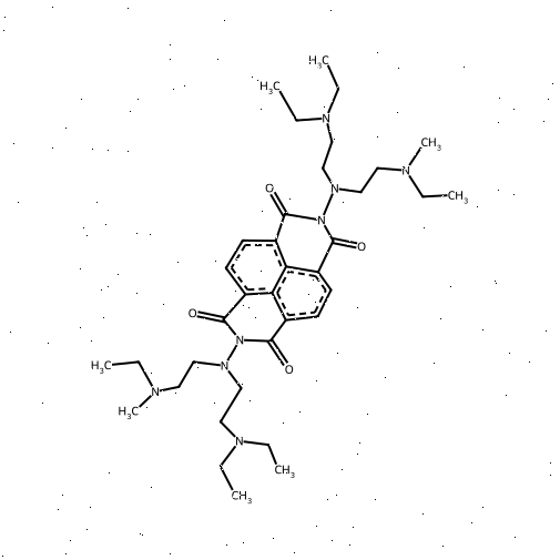 CCN(C)CCN(CCN(CC)CC)N1C(=O)c2ccc3c4c(ccc(c24)C1=O)C(=O)N(N(CCN(C)CC)CCN(CC)CC)C3=O